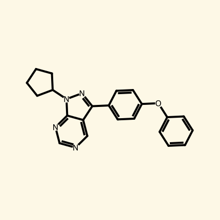 c1ccc(Oc2ccc(-c3nn(C4CCCC4)c4ncncc34)cc2)cc1